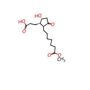 COC(=O)CCCCCCC1C(=O)C[C@@H](O)[C@@H]1CCC(=O)O